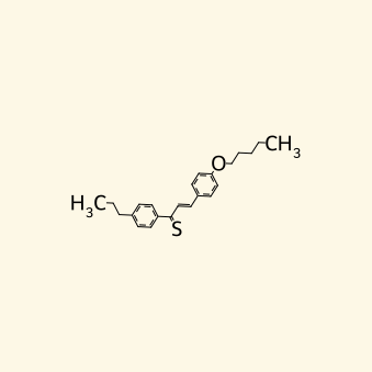 CCCCCOc1ccc(C=CC(=S)c2ccc(CCC)cc2)cc1